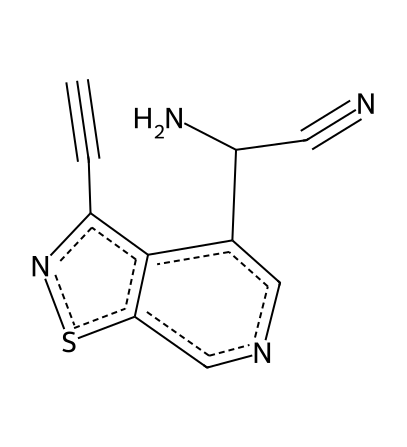 C#Cc1nsc2cncc(C(N)C#N)c12